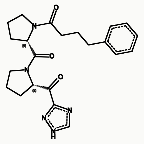 O=C(c1nc[nH]n1)[C@@H]1CCCN1C(=O)[C@@H]1CCCN1C(=O)CCCc1ccccc1